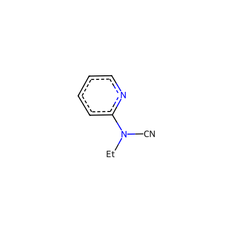 CCN(C#N)c1ccccn1